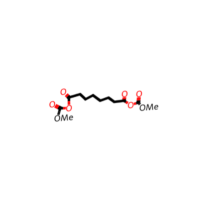 COC(=O)OC(=O)CCCCCCC(=O)OC(=O)OC